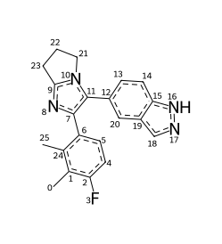 Cc1c(F)ccc(-c2nc3n(c2-c2ccc4[nH]ncc4c2)CCC3)c1C